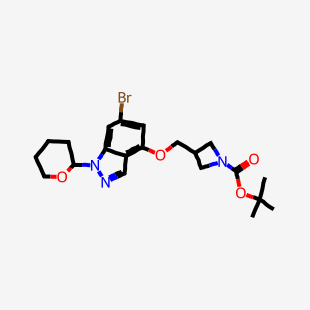 CC(C)(C)OC(=O)N1CC(COc2cc(Br)cc3c2cnn3C2CCCCO2)C1